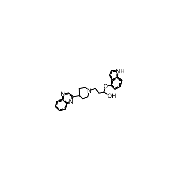 OC(CCN1CCC(c2cnc3ccccc3n2)CC1)Oc1cccc2[nH]ccc12